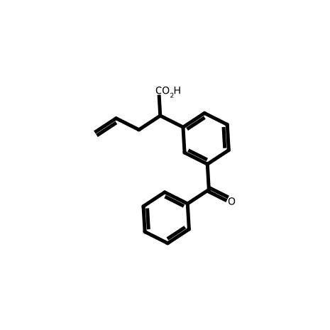 C=CCC(C(=O)O)c1cccc(C(=O)c2ccccc2)c1